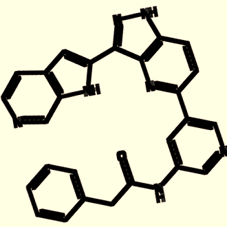 O=C(Cc1ccccc1)Nc1cncc(-c2ccc3[nH]nc(-c4cc5ccncc5[nH]4)c3n2)c1